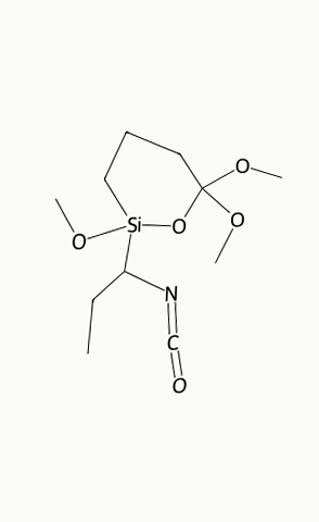 CCC(N=C=O)[Si]1(OC)CCCC(OC)(OC)O1